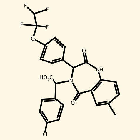 O=C(O)C(c1ccc(Cl)cc1)N1C(=O)c2cc(I)ccc2NC(=O)C1c1ccc(OC(F)(F)C(F)F)cc1